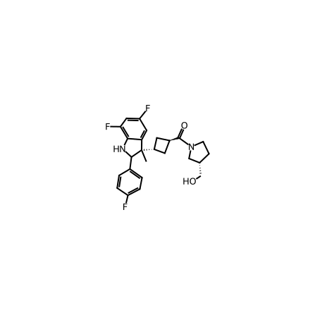 CC1([C@H]2C[C@H](C(=O)N3CC[C@H](CO)C3)C2)c2cc(F)cc(F)c2NC1c1ccc(F)cc1